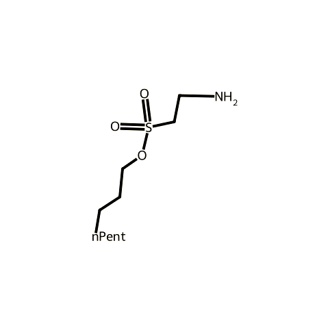 CCCCCCCCOS(=O)(=O)CCN